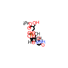 C#C[C@@]1(C)[C@H](n2ccc(=O)[nH]c2=O)O[C@@H]2C3O[P@@](=O)(OCCC(CO)C(=O)OC(C)C)O[C@]321